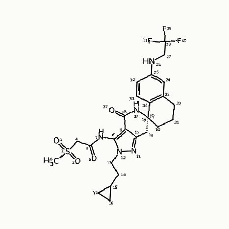 CS(=O)(=O)CC(=O)Nc1c2c(nn1CCC1CC1)C[C@]1(CCCc3cc(NCC(F)(F)F)ccc31)NC2=O